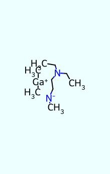 CCN(CC)CC[N-]C.[CH3][Ga+][CH3]